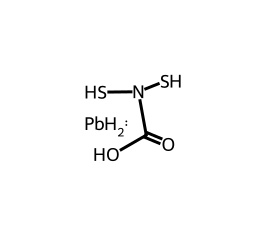 O=C(O)N(S)S.[PbH2]